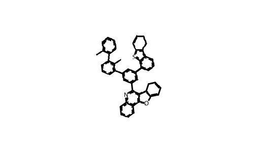 Cc1ccccc1-c1cccc(-c2cc(-c3nc4ccccc4c4c3C3CC=CC=C3O4)cc(-c3cccc4c5c(sc34)C=CCC5)c2)c1C